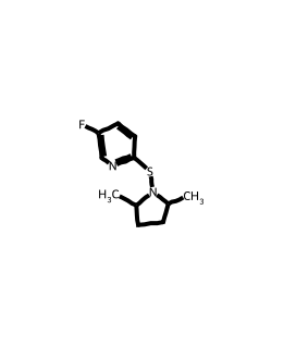 CC1CCC(C)N1Sc1ccc(F)cn1